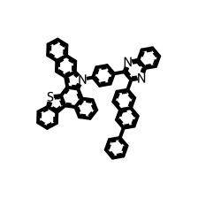 c1ccc(-c2ccc3cc(-c4nc5ccccc5nc4-c4ccc(-n5c6cc7ccccc7cc6c6c7sc8ccccc8c7c7ccccc7c65)cc4)ccc3c2)cc1